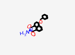 NN1C(=O)c2cccc3c(OCc4ccccc4)ccc(c23)C1=O